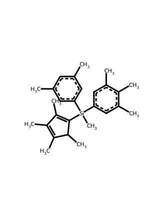 CC1=C(C)C(C)C([Si](C)(c2cc(C)cc(C)c2)c2cc(C)c(C)c(C)c2)=C1C